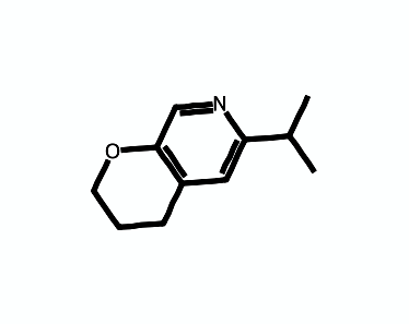 CC(C)c1cc2c(cn1)OCCC2